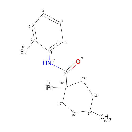 CCc1ccccc1NC(=O)C1(C(C)C)CCC(C)CC1